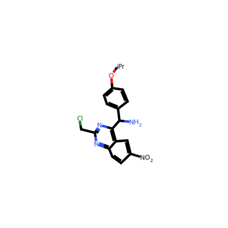 CC(C)Oc1ccc(C(N)c2nc(CCl)nc3ccc([N+](=O)[O-])cc23)cc1